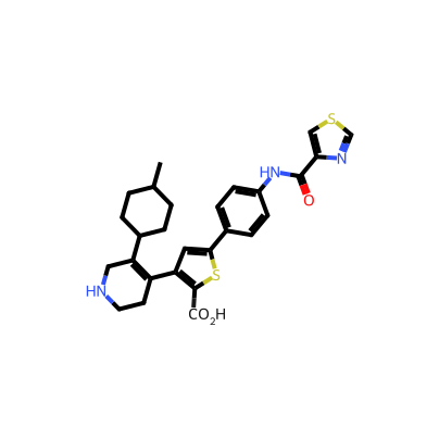 CC1CCC(C2=C(c3cc(-c4ccc(NC(=O)c5cscn5)cc4)sc3C(=O)O)CCNC2)CC1